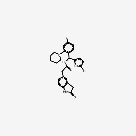 Cc1ccc(C(NC(=O)Cc2ccc3c(c2)CC(=O)N3)c2ccc(Cl)o2)c(N2CCCCC2)c1